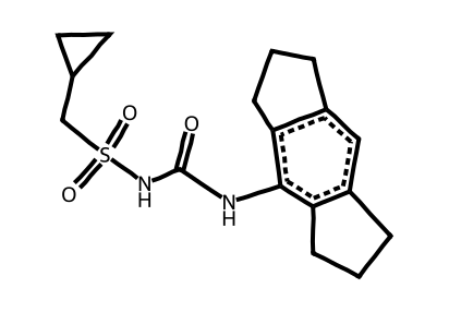 O=C(Nc1c2c(cc3c1CCC3)CCC2)NS(=O)(=O)CC1CC1